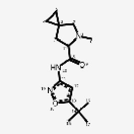 CN1CC2(CC2)CC1C(=O)Nc1cc(C(C)(C)C)on1